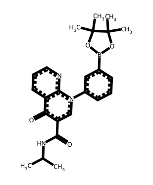 CC(C)NC(=O)c1cn(-c2cccc(B3OC(C)(C)C(C)(C)O3)c2)c2ncccc2c1=O